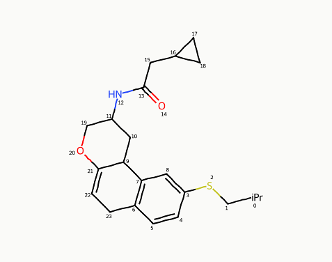 CC(C)CSc1ccc2c(c1)C1CC(NC(=O)CC3CC3)COC1=CC2